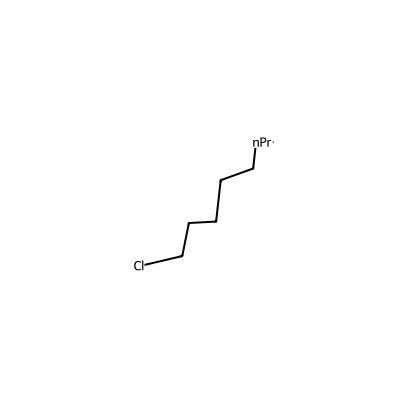 CC[CH]CCCCCCl